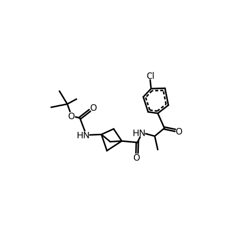 CC(NC(=O)C12CC(NC(=O)OC(C)(C)C)(C1)C2)C(=O)c1ccc(Cl)cc1